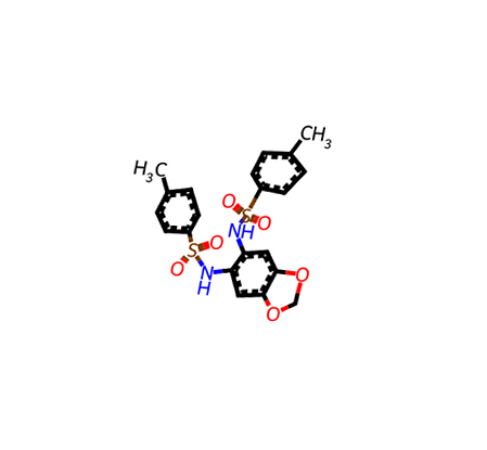 Cc1ccc(S(=O)(=O)Nc2cc3c(cc2NS(=O)(=O)c2ccc(C)cc2)OCO3)cc1